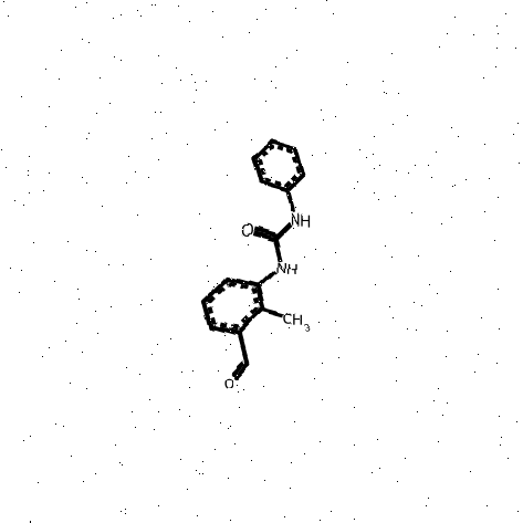 Cc1c(C=O)cccc1NC(=O)Nc1ccccc1